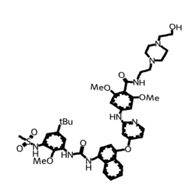 COc1cc(Nc2cc(Oc3ccc(NC(=O)Nc4cc(C(C)(C)C)cc(NS(C)(=O)=O)c4OC)c4ccccc34)ccn2)cc(OC)c1C(=O)NCCN1CCN(CCO)CC1